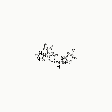 CCC(CC)C(c1ccc(Nc2nc3ccc(C)cc3s2)cc1)n1cncn1